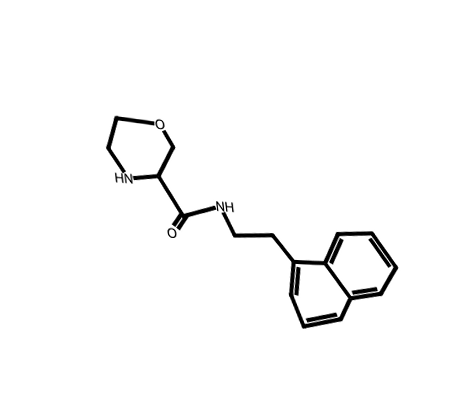 O=C(NCCc1cccc2ccccc12)C1COCCN1